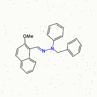 COc1ccc2ccccc2c1C=NN(Cc1ccccc1)c1ccccc1